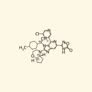 CC1CCC([C@@H](C)n2c(N3CCO[C@@H]4CCC[C@H]43)nc3cc(-c4noc(=O)[nH]4)nc(-c4cncc(Cl)c4)c32)CC1